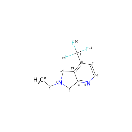 CCN1Cc2nccc(C(F)(F)F)c2C1